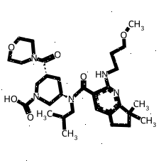 COCCCNc1nc2c(cc1C(=O)N(CC(C)C)[C@H]1C[C@@H](C(=O)N3CCOCC3)CN(C(=O)O)C1)CCC2(C)C